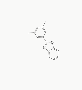 Cc1cc(C)cc(-c2nc3ccccc3o2)c1